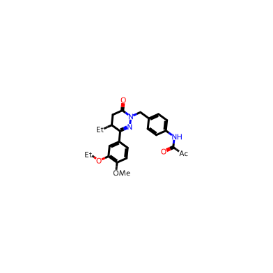 CCOc1cc(C2=NN(Cc3ccc(NC(=O)C(C)=O)cc3)C(=O)CC2CC)ccc1OC